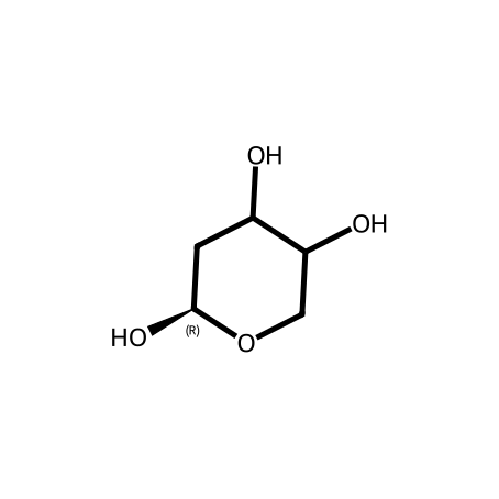 OC1CO[C@@H](O)CC1O